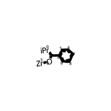 CC(C)C([O][Zr])c1ccccc1